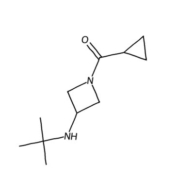 CC(C)(C)NC1CN(C(=O)C2CC2)C1